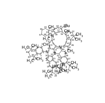 Cc1cc2c(cc1N1c3cc4cc5c3B(c3c1sc1cc6c(cc31)C(C)(C)CCC6(C)C)C1c3cc6c(cc3SC1N5c1cc3c(cc1C)C(C)(C)CCC3(C)c1cc3c(cc1C(C)(C)C)C1(C)CCCCC1(C)N43)C(C)(C)CCC6(C)C)C(C)(C)CCC2(C)C